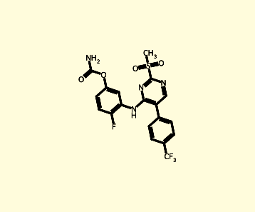 CS(=O)(=O)c1ncc(-c2ccc(C(F)(F)F)cc2)c(Nc2cc(OC(N)=O)ccc2F)n1